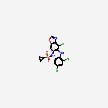 O=S(=O)(Nc1cc2ocnc2c(F)c1Nc1ccc(Br)cc1Cl)C1CC1